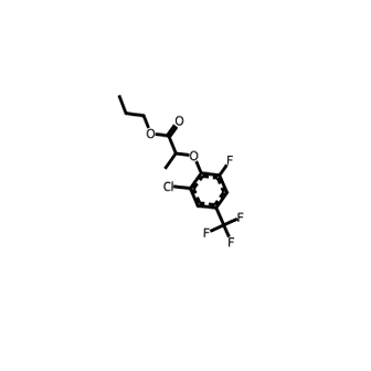 CCCOC(=O)C(C)Oc1c(F)cc(C(F)(F)F)cc1Cl